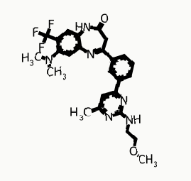 COCCNc1nc(C)cc(-c2cccc(C3=Nc4cc(N(C)C)c(C(F)(F)F)cc4NC(=O)C3)c2)n1